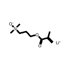 C=C(C)C(=O)OCCC[Si](C)(C)[O-].[Li+]